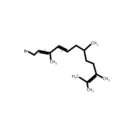 CC(C)=C(C)CCC(C)C/C=C/C(C)=C/CBr